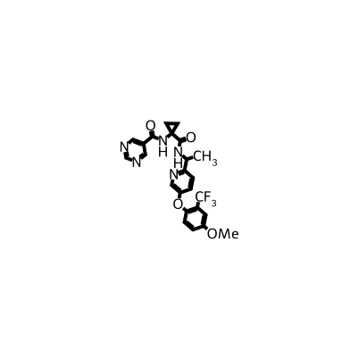 COc1ccc(Oc2ccc(C(C)NC(=O)C3(NC(=O)c4cncnc4)CC3)nc2)c(C(F)(F)F)c1